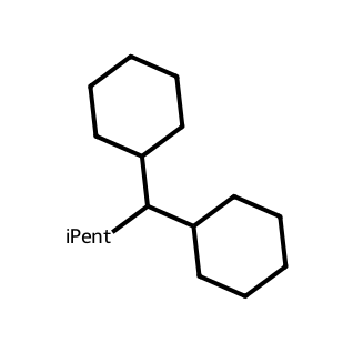 CCCC(C)C(C1CCCCC1)C1CCCCC1